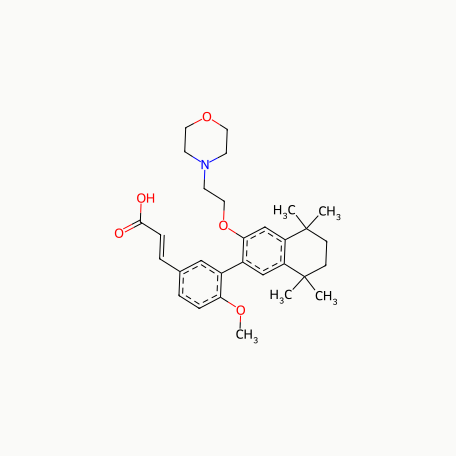 COc1ccc(C=CC(=O)O)cc1-c1cc2c(cc1OCCN1CCOCC1)C(C)(C)CCC2(C)C